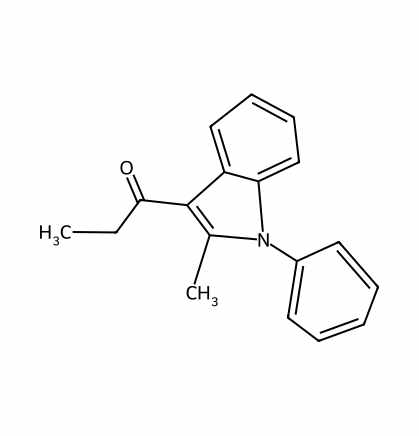 CCC(=O)c1c(C)n(-c2ccccc2)c2ccccc12